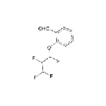 O=Cc1ccccc1OC(F)C(F)C(F)F